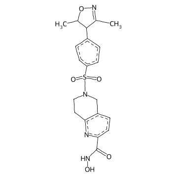 CC1=NOC(C)C1c1ccc(S(=O)(=O)N2CCc3nc(C(=O)NO)ccc3C2)cc1